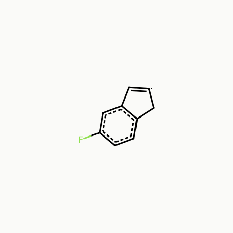 Fc1ccc2c(c1)C=[C]C2